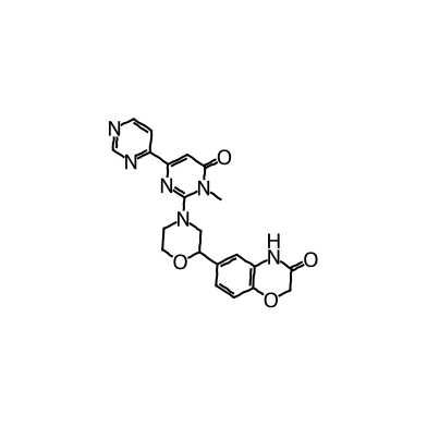 Cn1c(N2CCOC(c3ccc4c(c3)NC(=O)CO4)C2)nc(-c2ccncn2)cc1=O